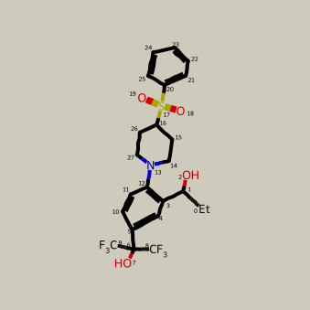 CCC(O)c1cc(C(O)(C(F)(F)F)C(F)(F)F)ccc1N1CCC(S(=O)(=O)c2ccccc2)CC1